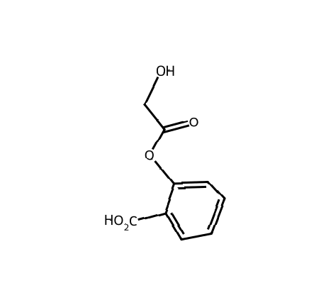 O=C(CO)Oc1ccccc1C(=O)O